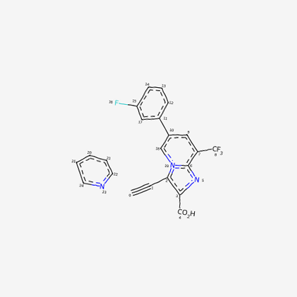 C#Cc1c(C(=O)O)nc2c(C(F)(F)F)cc(-c3cccc(F)c3)cn12.c1ccncc1